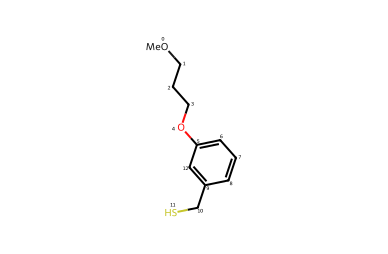 COCCCOc1cccc(CS)c1